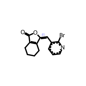 O=C1O/C(=C/c2cccnc2Br)C2=C1CCCC2